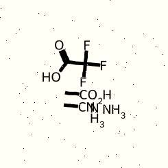 CC#N.CC(=O)O.N.N.O=C(O)C(F)(F)F